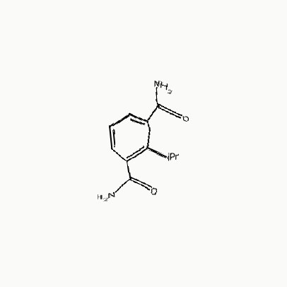 CC(C)c1c(C(N)=O)cccc1C(N)=O